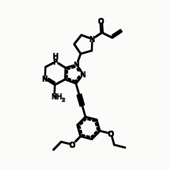 C=CC(=O)N1CCC(n2nc(C#Cc3cc(OCC)cc(OCC)c3)c3c2PCN=C3N)C1